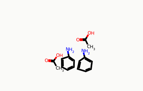 CC(=O)O.CC(=O)O.Nc1ccccc1.Nc1ccccc1